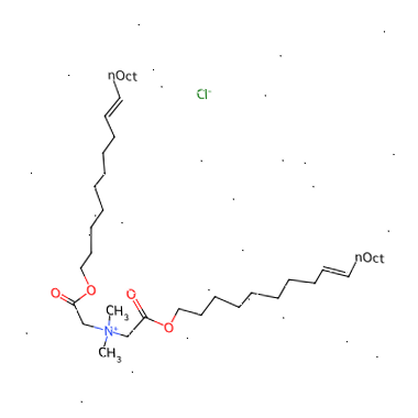 CCCCCCCCC=CCCCCCCCCOC(=O)C[N+](C)(C)CC(=O)OCCCCCCCCC=CCCCCCCCC.[Cl-]